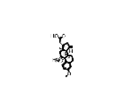 C=C1C[C@@H](CC(=O)O)[C@@]2(C)C[C@@H](O)[C@]3(O)c4ccc(OC)cc4CC[C@@H]3[C@H]12